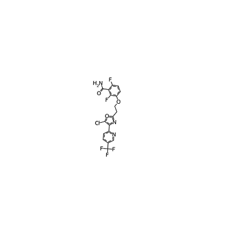 NC(=O)c1c(F)ccc(OCCc2nc(-c3ccc(C(F)(F)F)cn3)c(Cl)o2)c1F